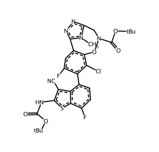 Cn1c2nnc1-c1cc(F)c(-c3ccc(F)c4sc(NC(=O)OC(C)(C)C)c(C#N)c34)c(Cl)c1ON(C(=O)OC(C)(C)C)C2